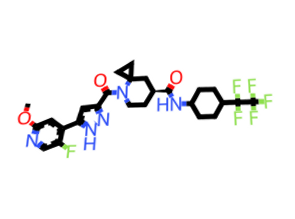 COc1cc(-c2cc(C(=O)N3CC[C@H](C(=O)NC4CCC(C(F)(F)C(F)(F)F)CC4)CC34CC4)n[nH]2)c(F)cn1